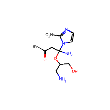 CC(C)C(=O)CC(N)(OC(CN)CO)n1ccnc1[N+](=O)[O-]